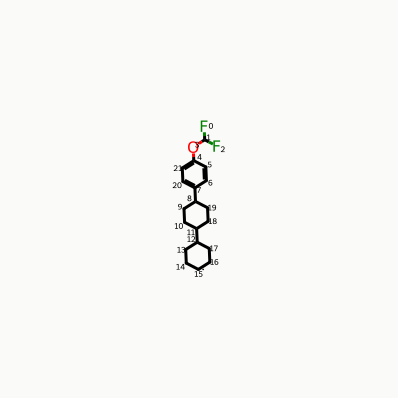 FC(F)Oc1ccc(C2CCC(C3CC[CH]CC3)CC2)cc1